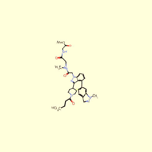 COC(=O)CNC(=O)CN(C)C(=O)Cn1nc(C2CCN(C(=O)CCC(=O)O)CC2)c2c(-c3cc4c(cnn4C)cc3F)cccc21